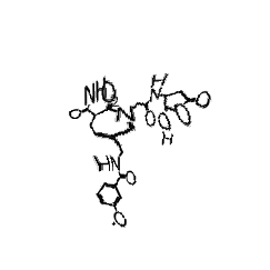 COc1cccc(C(=O)NCC2=CCC(C(N)=O)C(=O)N(CC(=O)NC3CC(=O)OC3O)C2)c1